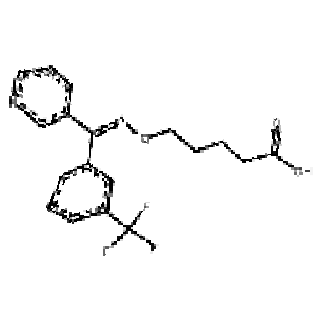 O=C(O)CCCCON=C(c1cccnc1)c1cccc(C(F)(F)F)c1